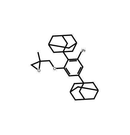 CC(C)c1cc(C23CC4CC(CC(C4)C2)C3)cc(OCC2(C)CO2)c1C12CC3CC(CC(C3)C1)C2